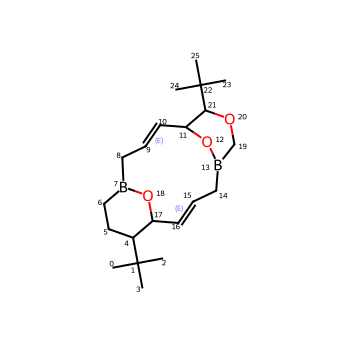 CC(C)(C)C1CCB2C/C=C/C3OB(C/C=C/C1O2)COC3C(C)(C)C